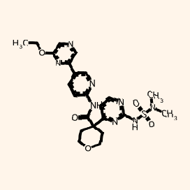 CCOc1cncc(-c2ccc(NC(=O)C3(c4ccnc(NS(=O)(=O)N(C)C)n4)CCOCC3)nc2)n1